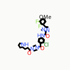 COc1ccc(-c2cnc(C(=O)Nc3ccc(C(=O)N4CCN(C(=O)CCC5CCCN5)CC4)c(Cl)c3)n2C)c(F)c1F